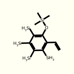 C=Cc1c([SiH3])c([SiH3])c([SiH3])c([SiH3])c1O[Si](C)(C)C